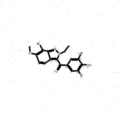 CCn1nc2c(Br)c(OC)ccc2c1C(=O)c1cc(Br)c(O)c(Br)c1